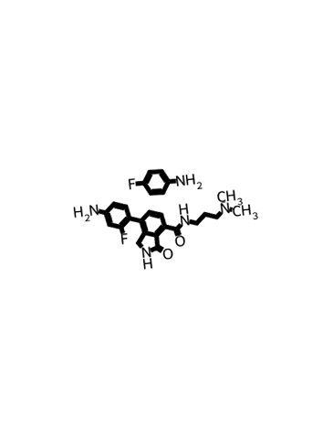 CN(C)CCCNC(=O)c1ccc(-c2ccc(N)cc2F)c2c1C(=O)NC2.Nc1ccc(F)cc1